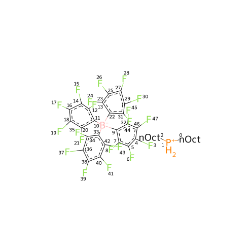 CCCCCCCC[PH2+]CCCCCCCC.Fc1c(F)c(F)c([B-](c2c(F)c(F)c(F)c(F)c2F)(c2c(F)c(F)c(F)c(F)c2F)c2c(F)c(F)c(F)c(F)c2F)c(F)c1F